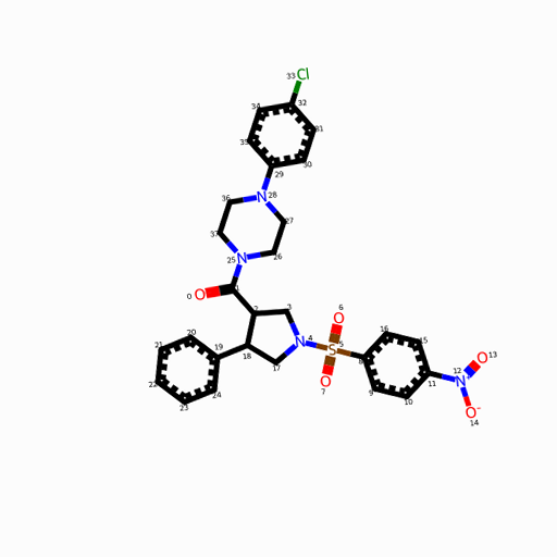 O=C(C1CN(S(=O)(=O)c2ccc([N+](=O)[O-])cc2)CC1c1ccccc1)N1CCN(c2ccc(Cl)cc2)CC1